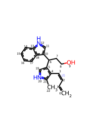 C=C/C=C\c1c(C(CCO)c2c[nH]c3ccccc23)c[nH]c1C